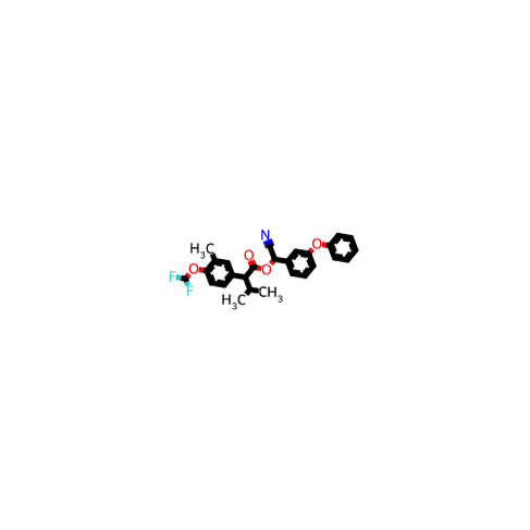 Cc1cc(C(C(=O)OC(C#N)c2cccc(Oc3ccccc3)c2)C(C)C)ccc1OC(F)F